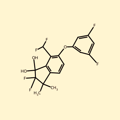 CC1(C)c2ccc(Oc3cc(F)cc(F)c3)c(C(F)F)c2C(O)(O)C1(F)F